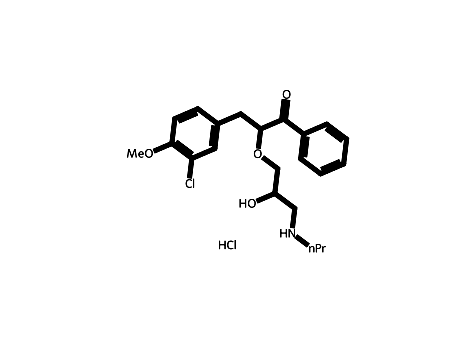 CCCNCC(O)COC(Cc1ccc(OC)c(Cl)c1)C(=O)c1ccccc1.Cl